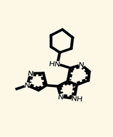 Cn1cc(-c2n[nH]c3ccnc(NC4CCCCC4)c23)cn1